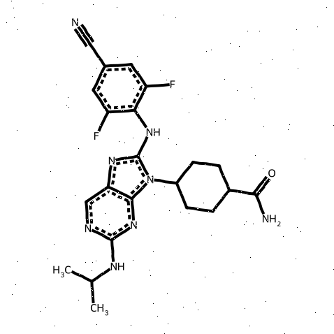 CC(C)Nc1ncc2nc(Nc3c(F)cc(C#N)cc3F)n(C3CCC(C(N)=O)CC3)c2n1